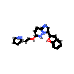 c1ccc2oc(-c3cnc4ccc(OCC[C@@H]5CCCN5)nn34)cc2c1